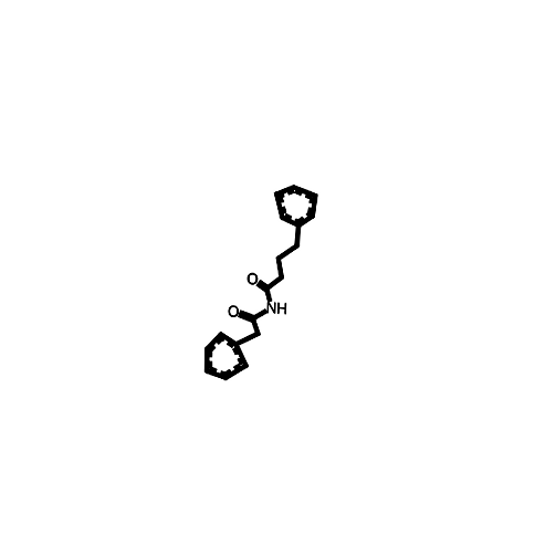 O=C(CCCc1ccccc1)NC(=O)Cc1ccccc1